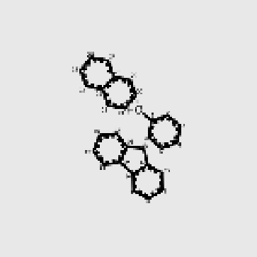 Oc1ccccc1.c1ccc2c(c1)Cc1ccccc1-2.c1ccc2ccccc2c1